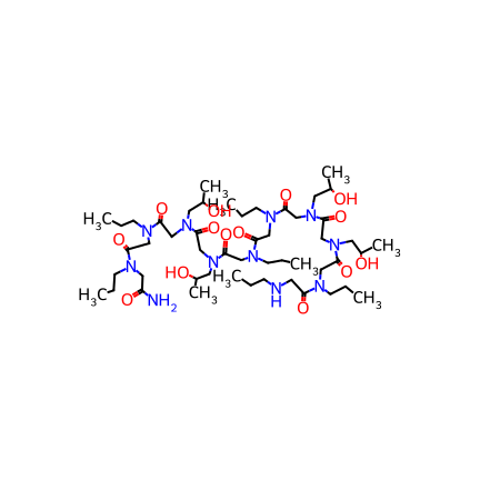 CCCNCC(=O)N(CCC)CC(=O)N(CC(=O)N(CC(=O)N(CCC)CC(=O)N(CCC)CC(=O)N(CC(=O)N(CC(=O)N(CCC)CC(=O)N(CCC)CC(N)=O)CC(C)O)CC(C)O)CC(C)O)CC(C)O